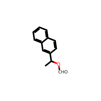 CC(OC=O)c1ccc2ccccc2c1